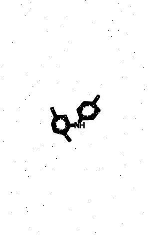 Cc1ccc(Nc2cc(C)ccc2C)cc1